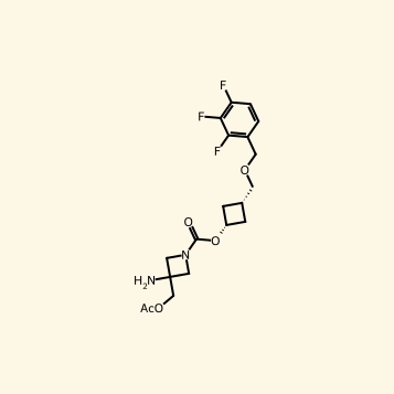 CC(=O)OCC1(N)CN(C(=O)O[C@H]2C[C@@H](COCc3ccc(F)c(F)c3F)C2)C1